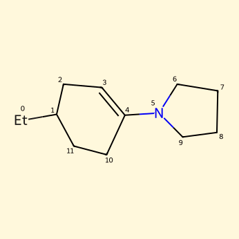 CCC1CC=C(N2CCCC2)CC1